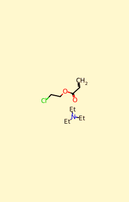 C=CC(=O)OCCCl.CCN(CC)CC